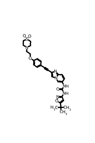 CC(C)(C)c1cc(NC(=O)Nc2ccc3nc(C#Cc4ccc(OCCN5CCS(=O)(=O)CC5)cc4)cn3c2)no1